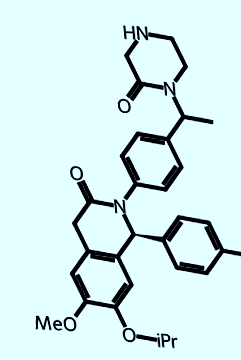 COc1cc2c(cc1OC(C)C)[C@H](c1ccc(Cl)cc1)N(c1ccc(C(C)N3CCNCC3=O)cc1)C(=O)C2